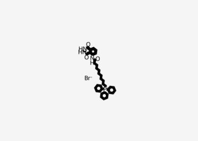 O=C(CCCCCCCCCC[P+](C1CCCCC1)(C1CCCCC1)C1CCCCC1)Nc1cccc2c(=O)[nH][nH]c(=O)c12.[Br-]